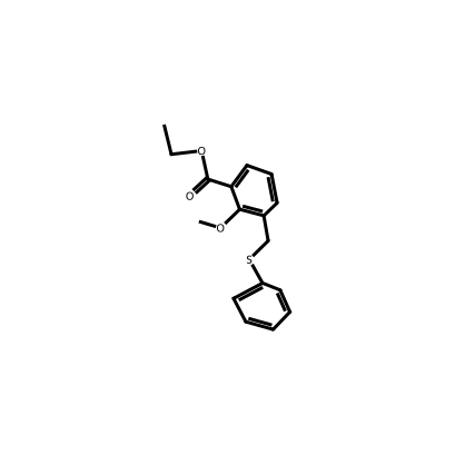 CCOC(=O)c1cccc(CSc2ccccc2)c1OC